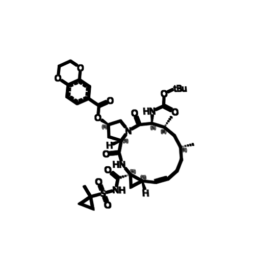 C[C@@H]1CCC=C[C@@H]2C[C@@]2(C(=O)NS(=O)(=O)C2(C)CC2)NC(=O)[C@@H]2C[C@@H](OC(=O)c3ccc4c(c3)OCCO4)CN2C(=O)[C@@H](NC(=O)OC(C)(C)C)[C@H](C)C1